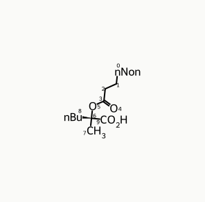 CCCCCCCCCCCC(=O)O[C@](C)(CCCC)C(=O)O